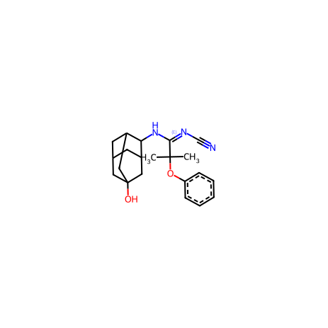 CC(C)(Oc1ccccc1)/C(=N\C#N)NC1C2CC3CC1CC(O)(C3)C2